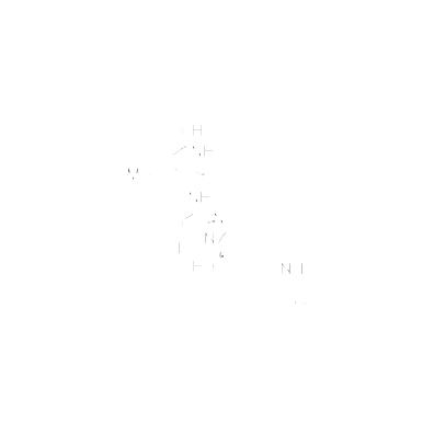 CSc1cc(C)[nH]c(=O)c1CNC(=O)c1ncc([C@H](C)C2CCC(NC3COC3)CC2)n1C